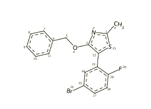 Cc1nc(OCc2ccccc2)c(-c2cc(Br)ccc2F)s1